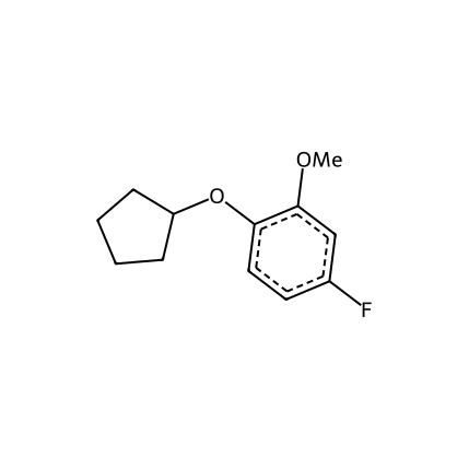 COc1cc(F)ccc1OC1CCCC1